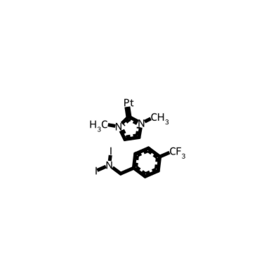 Cn1ccn(C)[c]1=[Pt].FC(F)(F)c1ccc(CN(I)I)cc1